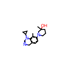 Cc1c(N2CCCC(C)(O)C2)ccc2c1N(C1CC1)C=NC2